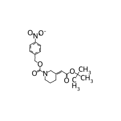 CC(C)(C)OC(=O)C=C1CCCN(C(=O)OCc2ccc([N+](=O)[O-])cc2)C1